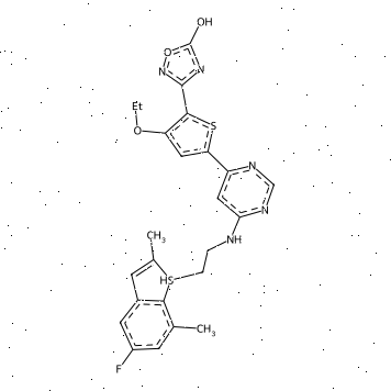 CCOc1cc(-c2cc(NCC[SH]3C(C)=Cc4cc(F)cc(C)c43)ncn2)sc1-c1noc(O)n1